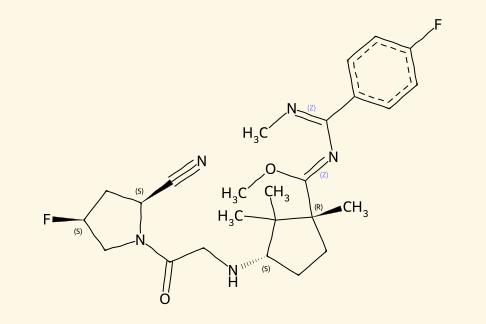 C/N=C(\N=C(/OC)[C@]1(C)CC[C@H](NCC(=O)N2C[C@@H](F)C[C@H]2C#N)C1(C)C)c1ccc(F)cc1